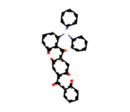 O=c1c2ccccc2oc2cc3c(=O)c4c(N(c5ccccc5)c5ccccc5)cccc4oc3cc12